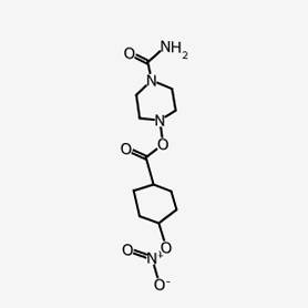 NC(=O)N1CCN(OC(=O)C2CCC(O[N+](=O)[O-])CC2)CC1